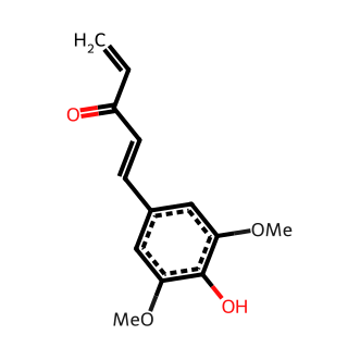 C=CC(=O)C=Cc1cc(OC)c(O)c(OC)c1